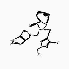 CCn1cc(Cl)c(CC2c3ccccc3C(=O)N2Cc2ccc3[nH]nnc3c2)n1